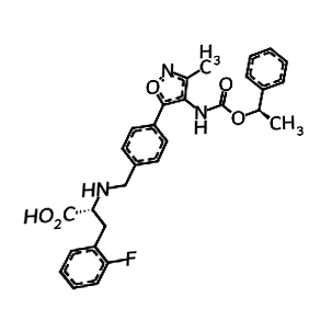 Cc1noc(-c2ccc(CN[C@H](Cc3ccccc3F)C(=O)O)cc2)c1NC(=O)O[C@H](C)c1ccccc1